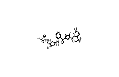 Cc1sc(C(=O)c2cncnc2N[C@H]2C[C@H](O)[C@@H]([CH]NS(=O)(=O)O)C2)cc1[C@H]1OCC(F)(F)c2ccc(Cl)nc21